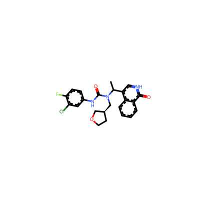 CC(c1c[nH]c(=O)c2ccccc12)N(C[C@H]1CCOC1)C(=O)Nc1ccc(F)c(Cl)c1